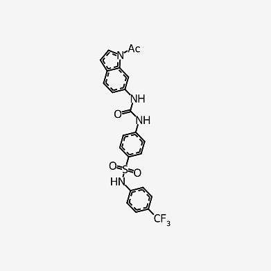 CC(=O)n1ccc2ccc(NC(=O)Nc3ccc(S(=O)(=O)Nc4ccc(C(F)(F)F)cc4)cc3)cc21